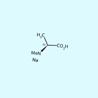 CN[C@@H](C)C(=O)O.[Na]